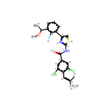 CCOC(c1cccc(-c2csc(NC(=O)c3cc(Cl)c(/C=C(\C)C(=O)O)c(Cl)c3)n2)c1F)C(C)(C)C